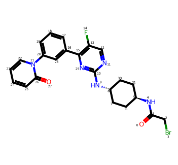 O=C(CBr)N[C@H]1CC[C@H](Nc2ncc(F)c(-c3cccc(-n4ccccc4=O)c3)n2)CC1